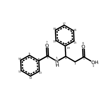 O=C(O)CC(NC(=O)c1ccccc1)c1ccccc1